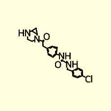 O=C(NCc1ccc(Cl)cc1)Nc1ccc(CC(=O)N2CCNC3CC32)cc1